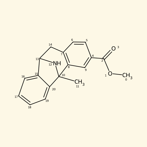 COC(=O)c1ccc2c(c1)C1(C)NC(C2)c2ccccc21